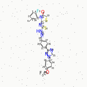 Cc1ccc(F)c(N2C(=O)CS/C2=N\C(=S)N/N=C/c2ccc(-c3ncn(-c4ccc(OC(F)(F)F)cc4)n3)cc2)c1